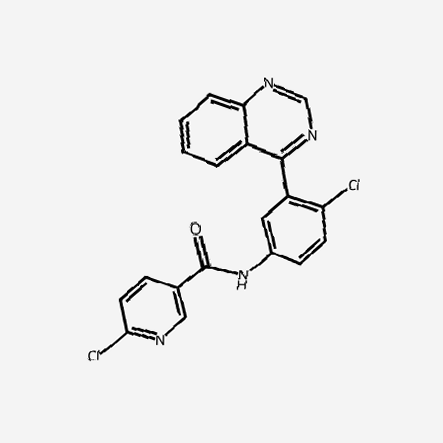 O=C(Nc1ccc(Cl)c(-c2ncnc3ccccc23)c1)c1ccc(Cl)nc1